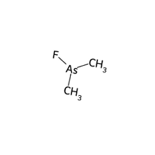 C[As](C)F